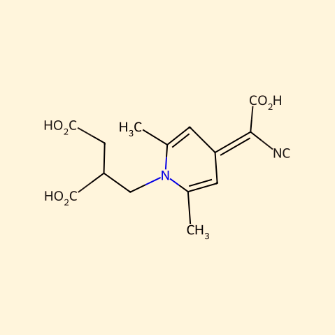 [C-]#[N+]C(C(=O)O)=C1C=C(C)N(CC(CC(=O)O)C(=O)O)C(C)=C1